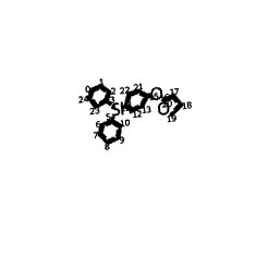 c1ccc([SH](c2ccccc2)c2ccc(Oc3ccco3)cc2)cc1